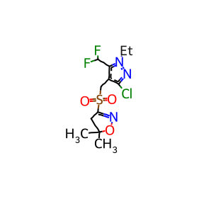 CCn1nc(Cl)c(CS(=O)(=O)C2=NOC(C)(C)C2)c1C(F)F